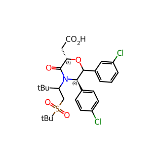 CC(C)(C)C(CS(=O)(=O)C(C)(C)C)N1C(=O)[C@H](CC(=O)O)OC(c2cccc(Cl)c2)[C@H]1c1ccc(Cl)cc1